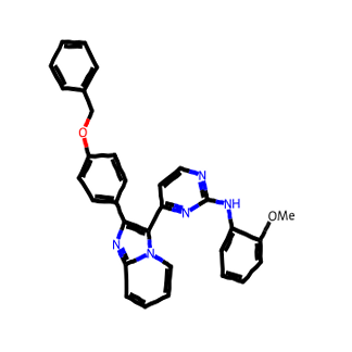 COc1ccccc1Nc1nccc(-c2c(-c3ccc(OCc4ccccc4)cc3)nc3ccccn23)n1